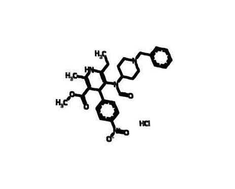 CCC1=C(N(C=O)C2CCN(Cc3ccccc3)CC2)C(c2ccc([N+](=O)[O-])cc2)C(C(=O)OC)=C(C)N1.Cl